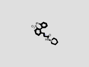 CC(C)c1ccccc1-c1c([N+](=O)[O-])[c]ccc1/C=C/C(=O)NN1CCCCC1